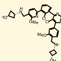 COc1cc(-c2ncnc(-c3cccc(-c4ccc(CN[C@H]5C[C@@H](O)C5)c(OC)n4)c3Cl)c2Cl)ccc1CN[C@H]1C[C@@H](O)C1